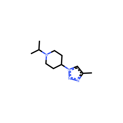 Cc1cn(C2CCN(C(C)C)CC2)nn1